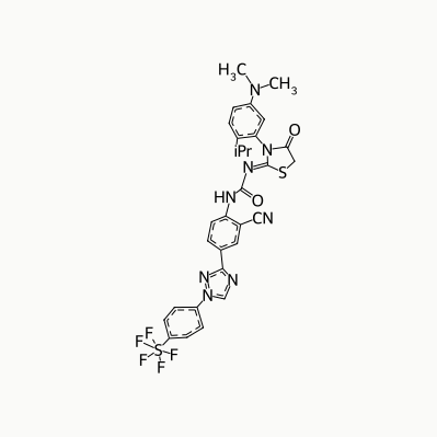 CC(C)c1ccc(N(C)C)cc1N1C(=O)CSC1=NC(=O)Nc1ccc(-c2ncn(-c3ccc(S(F)(F)(F)(F)F)cc3)n2)cc1C#N